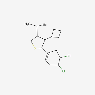 CCC(C)C(C)C1CSC(C2=CCC(Cl)C(Cl)C2)C1C1CCC1